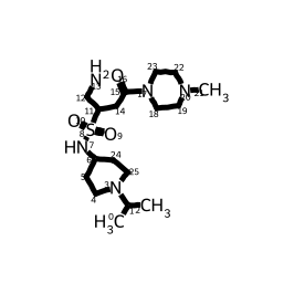 CC(C)N1CCC(NS(=O)(=O)C(CN)CC(=O)N2CCN(C)CC2)CC1